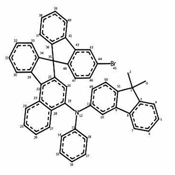 CC1(C)c2ccccc2-c2cc(N(c3ccccc3)c3cc4c(c5ccccc35)-c3ccccc3C43c4ccccc4-c4cc(Br)ccc43)ccc21